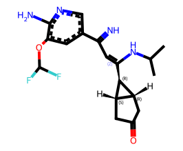 CC(C)N/C(=C\C(=N)c1cnc(N)c(OC(F)F)c1)[C@H]1[C@@H]2CC(=O)C[C@@H]21